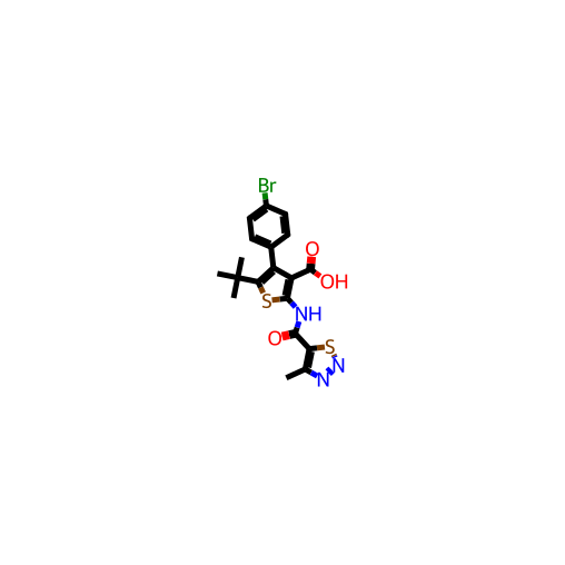 Cc1nnsc1C(=O)Nc1sc(C(C)(C)C)c(-c2ccc(Br)cc2)c1C(=O)O